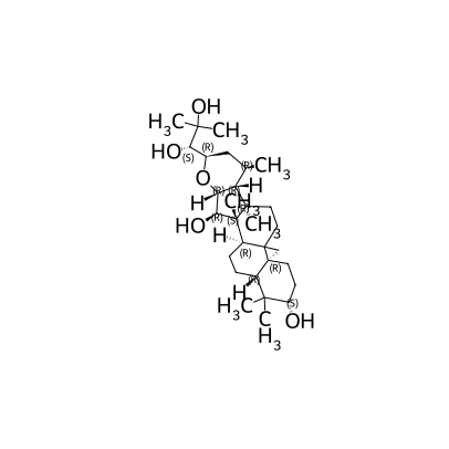 C[C@@H]1C[C@H]([C@H](O)C(C)(C)O)O[C@@H]2[C@H]1[C@@]1(C)CCC34C[C@@]35CC[C@H](O)C(C)(C)[C@@H]5CC[C@H]4[C@]1(C)[C@H]2O